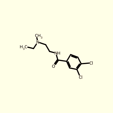 CCN(C)CCNC(=O)c1ccc(Cl)c(Cl)c1